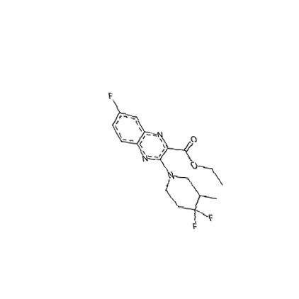 CCOC(=O)c1nc2cc(F)ccc2nc1N1CCC(F)(F)C(C)C1